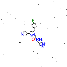 Cc1c(CNC(=O)Cn2nc(-c3ccncc3)cc2Cc2ccc(F)cc2)cnn1C